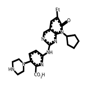 CCc1cc2cnc(Nc3ccc(N4CCNCC4)c(C(=O)O)n3)nc2n(C2CCCC2)c1=O